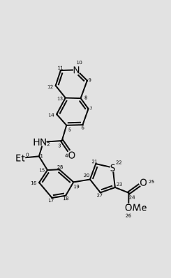 CCC(NC(=O)c1ccc2cnccc2c1)c1cccc(-c2csc(C(=O)OC)c2)c1